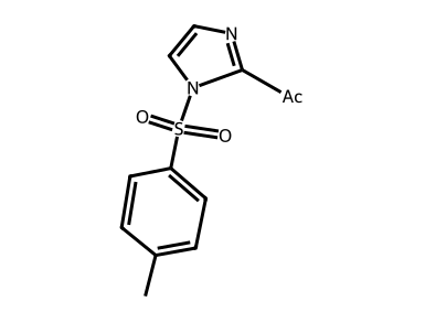 CC(=O)c1nccn1S(=O)(=O)c1ccc(C)cc1